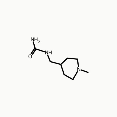 CN1CCC(CNC(N)=O)CC1